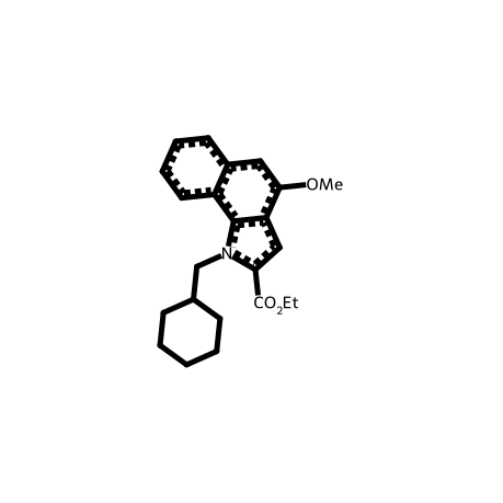 CCOC(=O)c1cc2c(OC)cc3ccccc3c2n1CC1CCCCC1